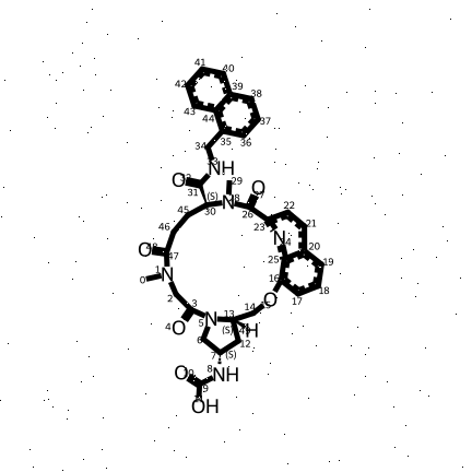 CN1CC(=O)N2C[C@@H](NC(=O)O)C[C@H]2COc2cccc3ccc(nc23)C(=O)N(C)[C@H](C(=O)NCc2cccc3ccccc23)CCC1=O